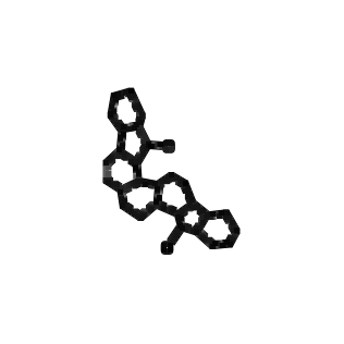 O=c1c2ccccc2c2ccc3c(ccc4ccc5c6ccccc6c(=O)c5c43)c12